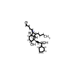 CCCCC1/C(=C/CCC=O)[C@H]2CC[C@@H](O)[C@H](C#CC(O)C3CCCCC3)[C@@H]12